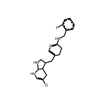 Fc1ccccc1CNC1=NC=C(CC2CNC3NC=C(Cl)CC23)CC1